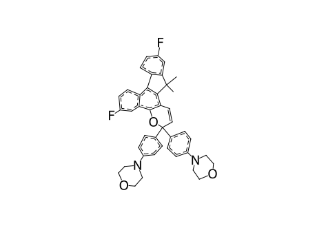 CC1(C)c2cc(F)ccc2-c2c1c1c(c3cc(F)ccc23)OC(c2ccc(N3CCOCC3)cc2)(c2ccc(N3CCOCC3)cc2)C=C1